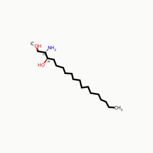 CCCCCCCCCCCCCCC[C@@H](O)[C@@H](N)CO.[C]